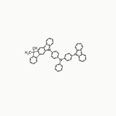 CC1(C)c2ccccc2-c2cc3c(cc21)c1ccccc1n3-c1ccc(N(c2ccccc2)c2ccc(-n3c4ccccc4c4ccccc43)cc2)cc1